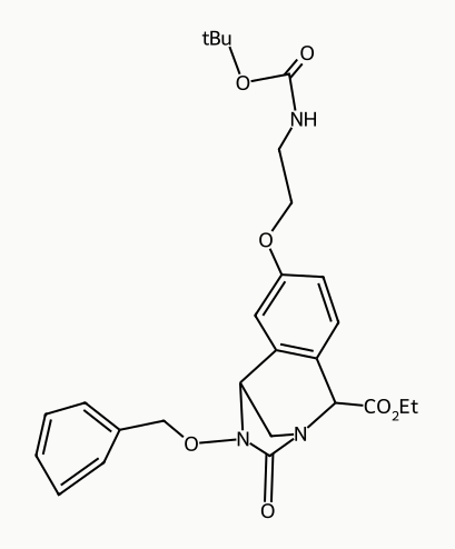 CCOC(=O)C1c2ccc(OCCNC(=O)OC(C)(C)C)cc2C2CN1C(=O)N2OCc1ccccc1